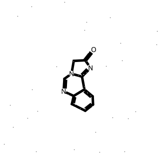 O=C1CN2C=Nc3ccccc3C2=N1